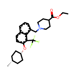 CCOC(=O)C1CCN(Cc2cccc3ccc(O[C@H]4CC[C@@H](C)CC4)c(C(F)(F)F)c23)CC1